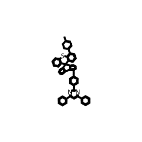 CC1=CC=C(c2cccc3c2Sc2ccccc2C32c3ccccc3-c3c(-c4ccc(-c5nc(-c6ccccc6)cc(-c6ccccc6)n5)cc4)cccc32)CC1